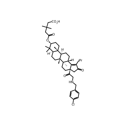 CC(C)C1=C2[C@H]3CC[C@@H]4[C@@]5(C)CC[C@H](OC(=O)CC(C)(C)CC(=O)O)C(C)(C)[C@@H]5CC[C@@]4(C)[C@]3(C)CC[C@@]2(C(=O)CNCc2ccc(Cl)cc2)CC1=O